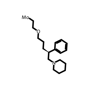 [Mo][CH2]COCCC[C@H](CN1CCCCC1)c1ccccc1